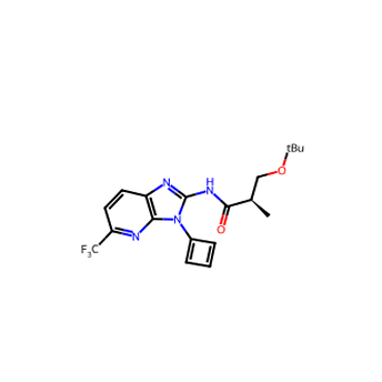 C[C@H](COC(C)(C)C)C(=O)Nc1nc2ccc(C(F)(F)F)nc2n1C1=CC=C1